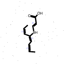 C\C=C/C=C(B/C=C/C(=O)O)\C=C/C